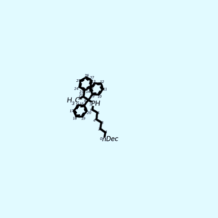 CCCCCCCCCCCCCCCCPC(c1ccccc1)(c1ccccc1)C(C)c1ccccc1